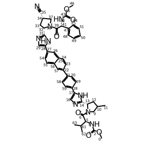 COC(=O)N[C@H](C(=O)N1CC(C)C[C@H]1c1ncc(-c2ccc(-c3ccc4cc(-c5cnc([C@@H]6C[C@H](C#N)CN6C(=O)[C@H](NC(=O)OC)c6ccccc6)[nH]5)ccc4c3)cc2)[nH]1)C(C)C